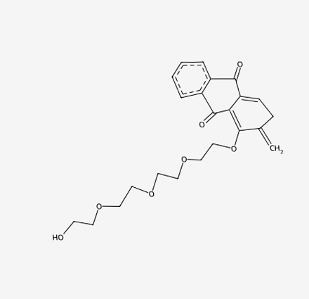 C=C1CC=C2C(=O)c3ccccc3C(=O)C2=C1OCCOCCOCCOCCO